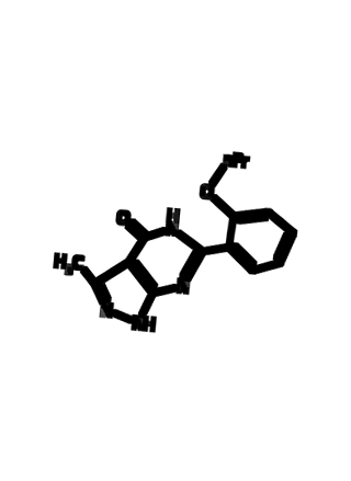 CCCOc1ccccc1-c1nc2[nH]nc(C)c2c(=O)[nH]1